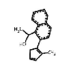 CC1=C(c2ccc3ccccc3c2C(C)O)CC=C1